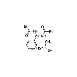 CC(S)S.CCC(=O)N[As](NC(=O)CC)c1ccccc1